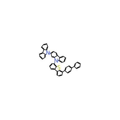 c1ccc(-c2ccc(-c3cccc4c3sc3c(-n5c6ccccc6c6ccc(-n7c8ccccc8c8ccccc87)cc65)cccc34)cc2)cc1